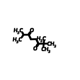 CC(C)C(=O)CCC(=O)C(C)(C)C